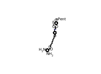 CCCCCOc1ccc(OC(=O)/C=C/c2ccc(OCCCCCCCCOC(=O)c3cc(N)cc(N)c3)cc2)c(F)c1F